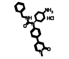 Cl.Cn1ccc(-c2ccc(N(C(=O)NCc3ccccc3)[C@H]3CC[C@H](N)CC3)cc2)cc1=O